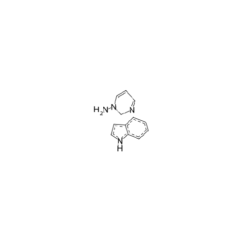 NN1C=CC=NC1.c1ccc2[nH]ccc2c1